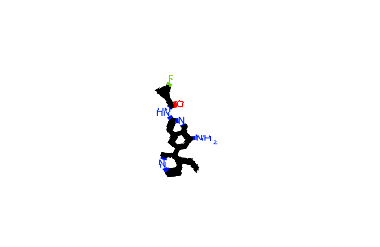 CCc1ccncc1-c1cc(N)c2cnc(NC(=O)C3CC3F)cc2c1